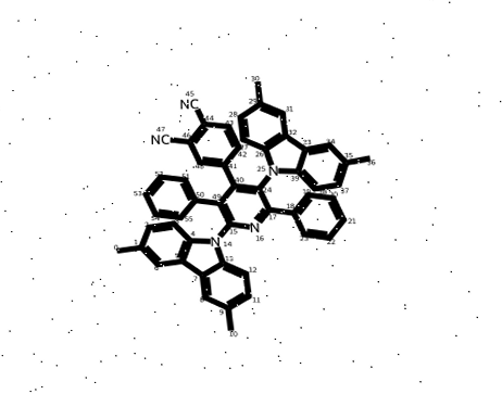 Cc1ccc2c(c1)c1cc(C)ccc1n2-c1nc(-c2ccccc2)c(-n2c3ccc(C)cc3c3cc(C)ccc32)c(-c2ccc(C#N)c(C#N)c2)c1-c1ccccc1